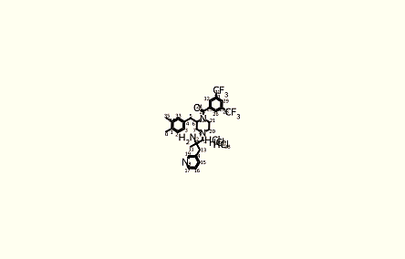 Cc1ccc(CC2CN(CC(C)(N)Cc3cccnc3)CCN2C(=O)c2cc(C(F)(F)F)cc(C(F)(F)F)c2)cc1C.Cl.Cl.Cl